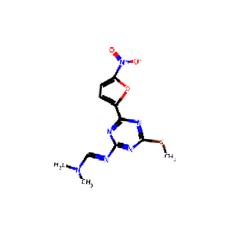 CSc1nc(N=CN(C)C)nc(-c2ccc([N+](=O)[O-])o2)n1